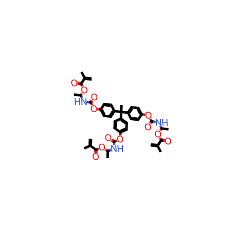 C=C(C)C(=O)OC(C)NC(=O)Oc1ccc(C(C)(c2ccc(OC(=O)NC(C)OC(=O)C(=C)C)cc2)c2ccc(OC(=O)NC(C)OC(=O)C(=C)C)cc2)cc1